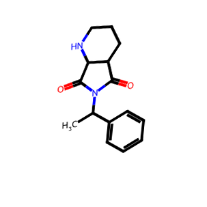 CC(c1ccccc1)N1C(=O)C2CCCNC2C1=O